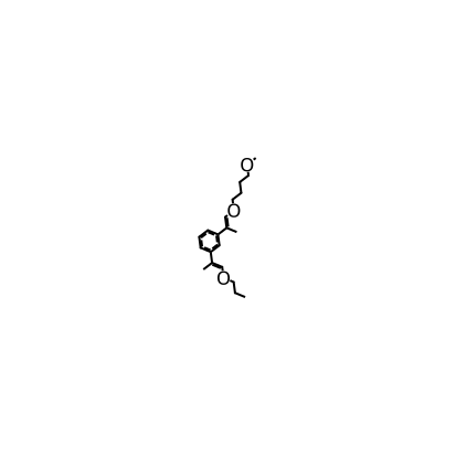 CCCOC=C(C)c1cccc(C(C)=COCCCCOC)c1